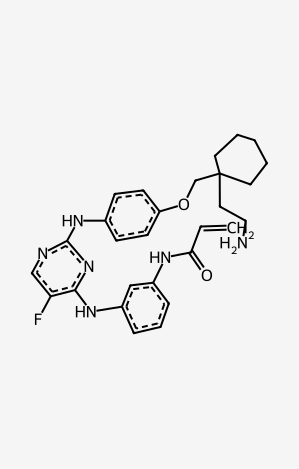 C=CC(=O)Nc1cccc(Nc2nc(Nc3ccc(OCC4(CCN)CCCCC4)cc3)ncc2F)c1